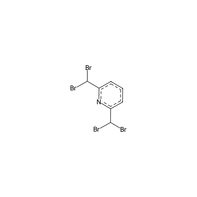 BrC(Br)c1cccc(C(Br)Br)n1